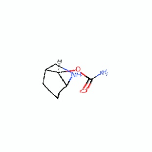 NC(=O)O[C@@H]1C2CCC1NC2